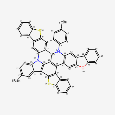 CC(C)(C)c1ccc(N2B3c4cc5sc6ccccc6c5cc4-n4c5ccc(C(C)(C)C)cc5c5c6sc7ccccc7c6c(c3c54)-c3cc4oc5ccccc5c4cc32)cc1